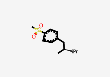 [CH2]C(C)[C@@H](C)Cc1ccc(S(C)(=O)=O)cc1